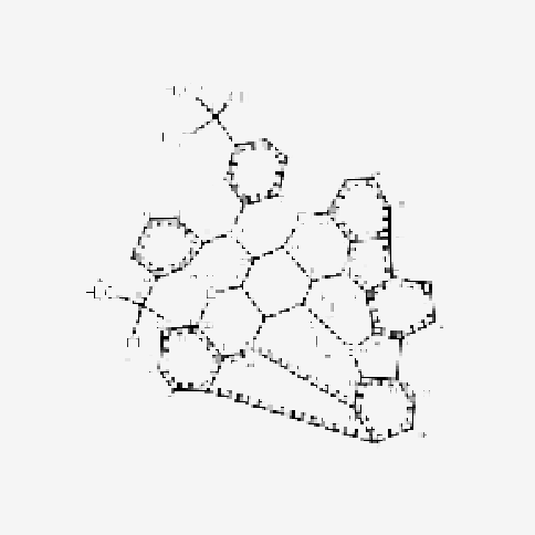 CC(C)(C)c1cccc(B(c2cccc(C(C)(C)C)c2)C2C3Oc4cccc5c6ccc7c8c6n(c45)C3[C@@H]3B8c4c-7ccc5c6cccc7c6n(c45)[C@@H]3C2O7)c1